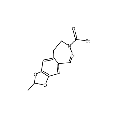 CCC(=O)N1CCc2cc3c(cc2C=N1)OC(C)O3